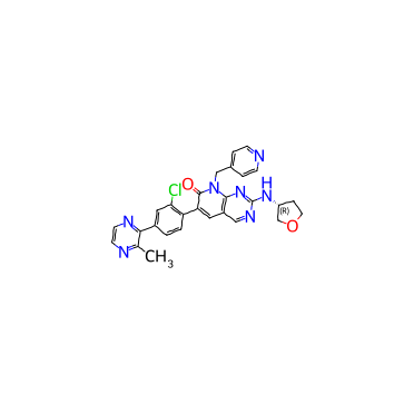 Cc1nccnc1-c1ccc(-c2cc3cnc(N[C@@H]4CCOC4)nc3n(Cc3ccncc3)c2=O)c(Cl)c1